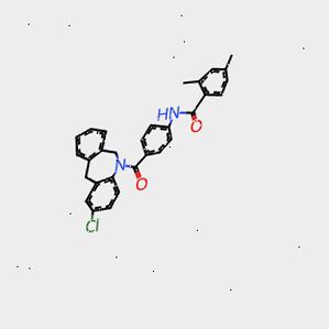 Cc1ccc(C(=O)Nc2ccc(C(=O)N3Cc4ccccc4Cc4cc(Cl)ccc43)cc2)c(C)c1